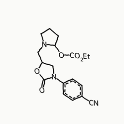 CCOC(=O)OC1CCCN1CC1CN(c2ccc(C#N)cc2)C(=O)O1